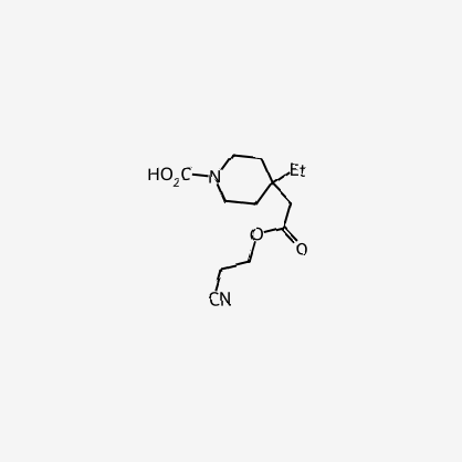 CCC1(CC(=O)OCCC#N)CCN(C(=O)O)CC1